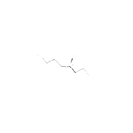 NCC[C@H](O)CCCO